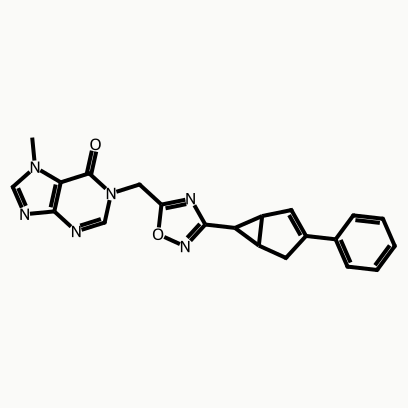 Cn1cnc2ncn(Cc3nc(C4C5C=C(c6ccccc6)CC54)no3)c(=O)c21